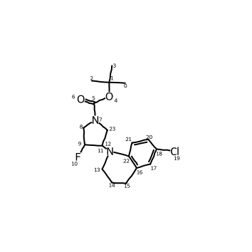 CC(C)(C)OC(=O)N1CC(F)C(N2CCCc3cc(Cl)ccc32)C1